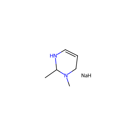 CC1NC=CCN1C.[NaH]